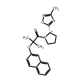 Cc1noc([C@@H]2CCCN2C(=O)C(C)(C)Oc2ccc3ccccc3c2)n1